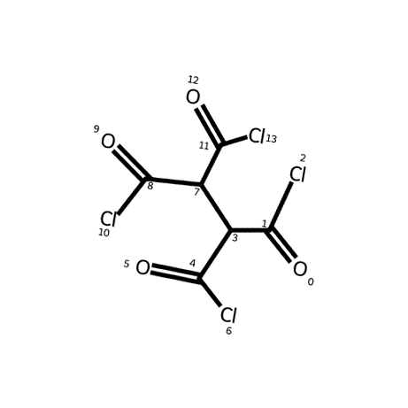 O=C(Cl)C(C(=O)Cl)C(C(=O)Cl)C(=O)Cl